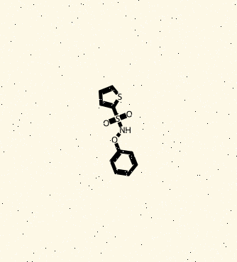 O=S(=O)(NOc1ccccc1)c1cccs1